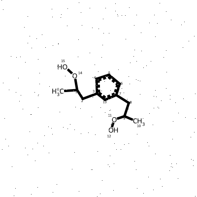 CC(Cc1cccc(CC(C)OO)c1)OO